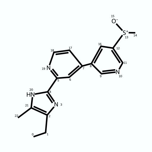 CCc1nc(-c2cc(-c3cncc([S+](C)[O-])c3)ccn2)[nH]c1C